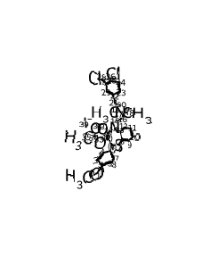 COc1ccc([C@H]2Sc3ccccc3N(CC[N+](C)(C)CCc3ccc(Cl)c(Cl)c3)C(=O)[C@H]2OC(C)=O)cc1.[I-]